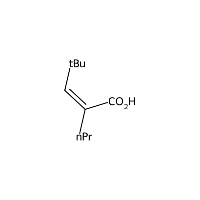 CCCC(=CC(C)(C)C)C(=O)O